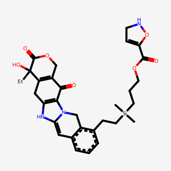 CCC1(O)C(=O)OCC2=C1CC1=C(C2=O)N2Cc3c(cccc3CC[Si](C)(C)CCCOC(=O)C3=CCNO3)C=C2N1